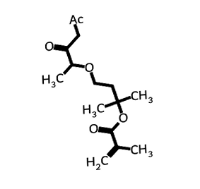 C=C(C)C(=O)OC(C)(C)CCOC(C)C(=O)CC(C)=O